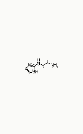 NCCNC1=NC=CB1